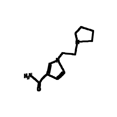 NC(=O)c1ccn(CCN2CCCC2)c1